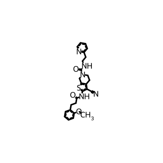 COc1ccccc1CCC(=O)Nc1sc2c(c1C#N)CCN(C(=O)NCCc1ccccn1)C2